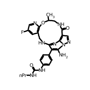 CCCNC(=O)Nc1ccc(-c2c3nc4c(cnn4c2N)C(=O)NCC(C)Oc2ncc(F)cc2CN3)cc1